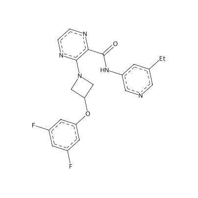 CCc1cncc(NC(=O)c2nccnc2N2CC(Oc3cc(F)cc(F)c3)C2)c1